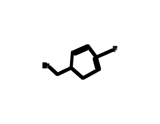 FC1=CCC(CBr)C=C1